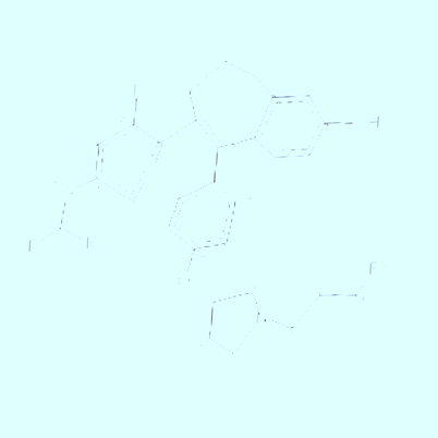 Oc1ccc2c(c1)CCCC(c1ccc(OC(F)F)cc1F)=C2c1ccc(O[C@H]2CCN(CCCF)C2)cc1